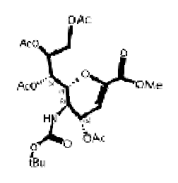 COC(=O)C1=C[C@H](OC(C)=O)[C@@H](NC(=O)OC(C)(C)C)[C@H]([C@H](OC(C)=O)C(COC(C)=O)OC(C)=O)O1